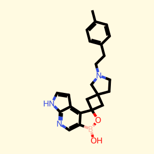 Cc1ccc(CCN2CCC3(C2)CC2(C3)OB(O)c3cnc4[nH]ccc4c32)cc1